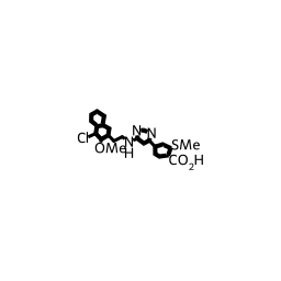 COc1c(CCNc2cc(-c3ccc(C(=O)O)c(SC)c3)ncn2)cc2ccccc2c1Cl